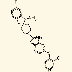 N[C@@H]1c2cc(F)ccc2CC12CCN(c1nc3ncc(Sc4ccncc4Cl)nc3[nH]1)CC2